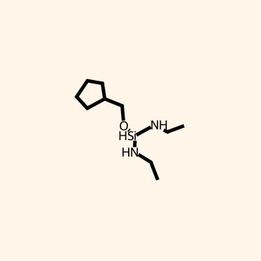 CCN[SiH](NCC)OCC1CCCC1